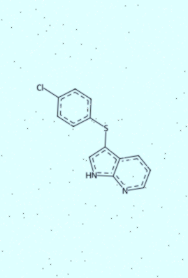 Clc1ccc(Sc2c[nH]c3ncccc23)cc1